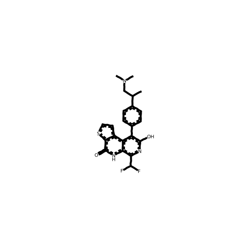 CC(CN(C)C)c1ccc(-c2c(O)nc(C(F)F)c3[nH]c(=O)c4sccc4c23)cc1